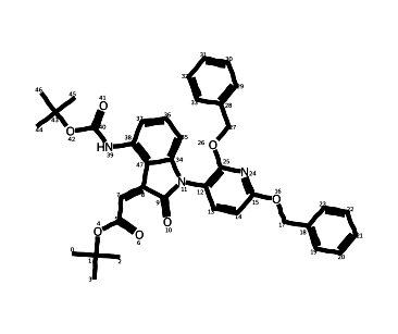 CC(C)(C)OC(=O)/C=C1\C(=O)N(c2ccc(OCc3ccccc3)nc2OCc2ccccc2)c2cccc(NC(=O)OC(C)(C)C)c21